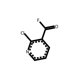 O=C(F)c1cccnc1Cl